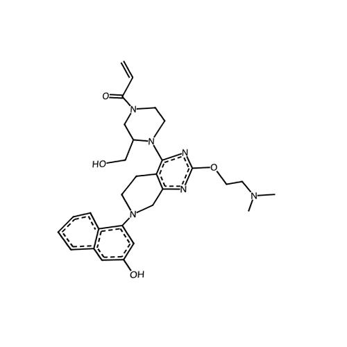 C=CC(=O)N1CCN(c2nc(OCCN(C)C)nc3c2CCN(c2cc(O)cc4ccccc24)C3)C(CO)C1